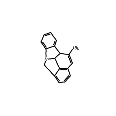 CC(C)(C)C1=Cc2cccc3c2C2C1c1ccccc1N2C3